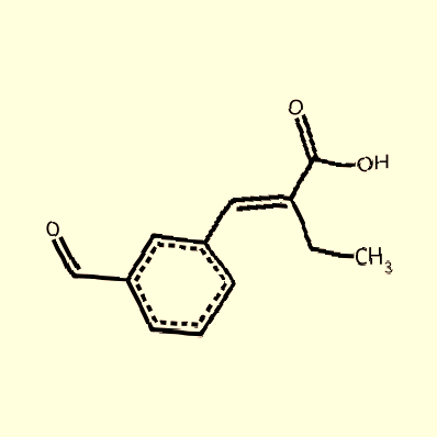 CC/C(=C\c1cccc(C=O)c1)C(=O)O